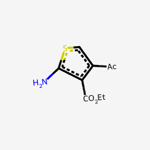 CCOC(=O)c1c(C(C)=O)csc1N